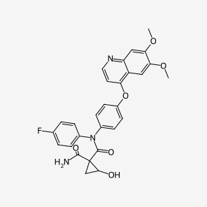 COc1cc2nccc(Oc3ccc(N(C(=O)C4(C(N)=O)CC4O)c4ccc(F)cc4)cc3)c2cc1OC